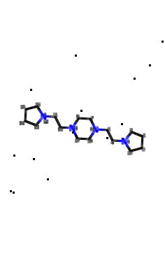 C1CCN(CCN2CCN(CCN3CCCC3)CC2)C1